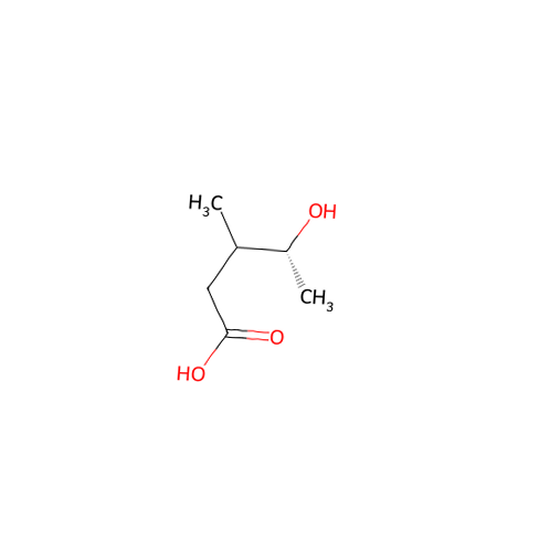 CC(CC(=O)O)[C@@H](C)O